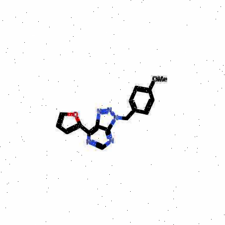 COc1ccc(Cn2nnc3c(-c4ccco4)ncnc32)cc1